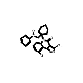 Cc1onc2c1c(=O)n(C1(C[S+]([O-])c3ccccc3)CCCCC1)c1cccc(Cl)c21